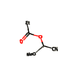 CCC(=O)O[C](C#N)OC